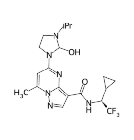 Cc1cc(N2CCN(C(C)C)C2O)nc2c(C(=O)N[C@@H](C3CC3)C(F)(F)F)cnn12